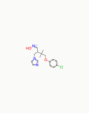 CC(C)(COc1ccc(Cl)cc1)C(/C=N\O)Cn1ccnc1